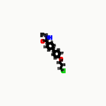 CC(C)NC(=O)c1ccc(-c2ccc(OCCCCl)cc2)cc1